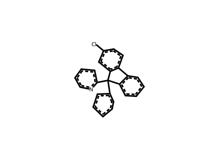 Clc1ccc2c(c1)C(c1ccccc1)(c1ccccn1)c1ccccc1-2